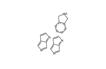 C1=CC2=CN=CC2=N1.C1=CC2=CN=CC2=N1.c1ccc2c(c1)CNC2